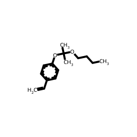 C=Cc1ccc(OC(C)(C)OCCCC)cc1